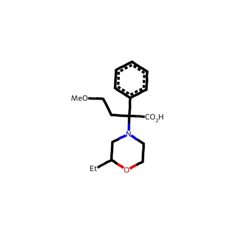 CCC1CN(C(CCOC)(C(=O)O)c2ccccc2)CCO1